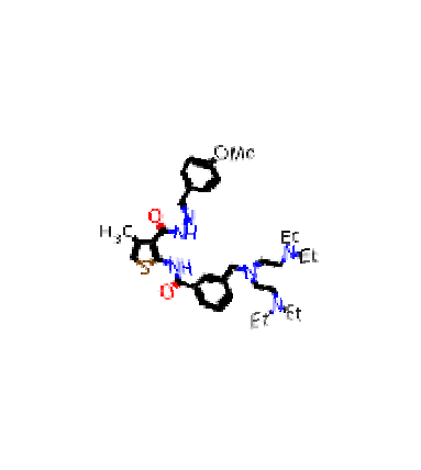 CCN(CC)CCN(CCN(CC)CC)Cc1cccc(C(=O)Nc2scc(C)c2C(=O)N/N=C/c2ccc(OC)cc2)c1